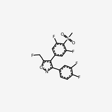 CS(=O)(=O)c1c(F)cc(-c2c(-c3ccc(F)c(F)c3)noc2CF)cc1F